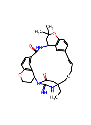 CCC12CCC/C=C/c3ccc4c(c3)C(CC(C)(C)O4)NC(=O)c3ccc4c(c3)C(CCO4)N(C(=N)N1)C(=O)C2